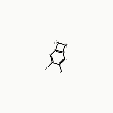 Cc1cc2[nH][nH]c2cc1F